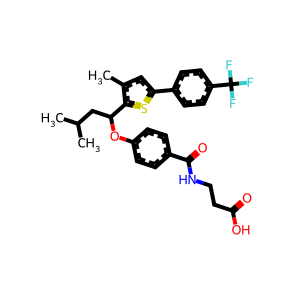 Cc1cc(-c2ccc(C(F)(F)F)cc2)sc1C(CC(C)C)Oc1ccc(C(=O)NCCC(=O)O)cc1